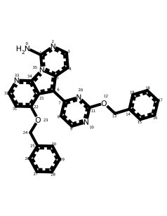 Nc1nccc2c(-c3ccnc(OCc4ccccc4)n3)c3c(OCc4ccccc4)ccnc3n12